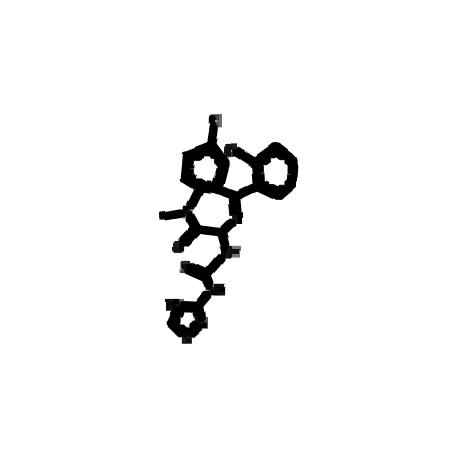 CN1C(=O)C(NC(=S)Nc2nnc[nH]2)N=C(c2ccccc2Cl)c2cc(Cl)ccc21